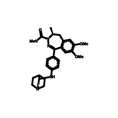 CNC(=O)N1N=C(c2ccc(NC3CN4CCC3CC4)cc2)c2cc(OC)c(OC)cc2C[C@@H]1C